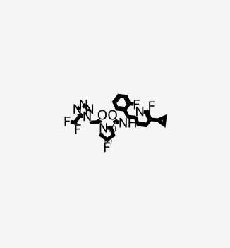 O=C(NC(c1ccc(C2CC2)c(F)n1)c1ccccc1F)[C@@H]1C[C@@H](F)CN1C(=O)Cn1nnnc1C(F)F